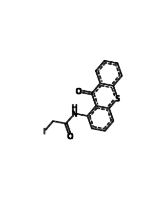 O=C(CI)Nc1cccc2sc3ccccc3c(=O)c12